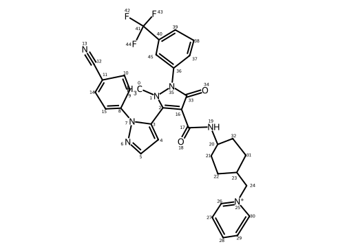 Cn1c(-c2ccnn2-c2ccc(C#N)cc2)c(C(=O)NC2CCC(C[n+]3ccccc3)CC2)c(=O)n1-c1cccc(C(F)(F)F)c1